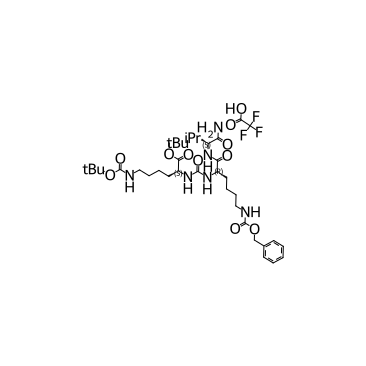 CC(C)[C@H](NC(=O)[C@@H](CCCCNC(=O)OCc1ccccc1)NC(=O)N[C@@H](CCCCNC(=O)OC(C)(C)C)C(=O)OC(C)(C)C)C(N)=O.O=C(O)C(F)(F)F